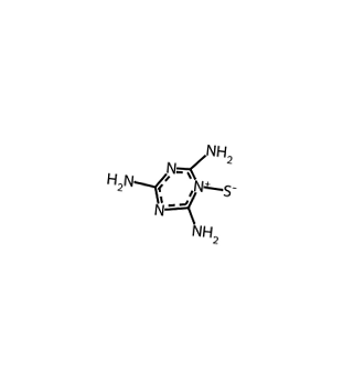 Nc1nc(N)[n+]([S-])c(N)n1